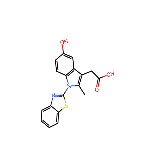 Cc1c(CC(=O)O)c2cc(O)ccc2n1-c1nc2ccccc2s1